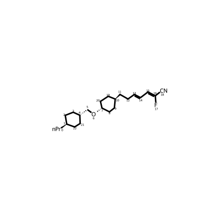 CCC[C@H]1CC[C@H](CO[C@H]2CC[C@H](CC/C=C/C=C(\F)C#N)CC2)CC1